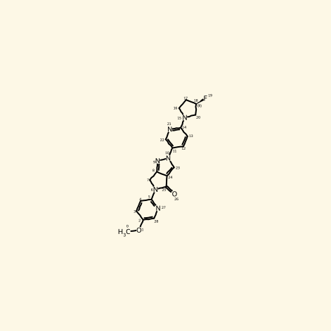 COc1ccc(N2Cc3nn(-c4ccc(N5CC[C@@H](F)C5)nc4)cc3C2=O)nc1